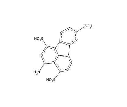 Nc1cc(S(=O)(=O)O)c2c3c(ccc(S(=O)(=O)O)c13)-c1cc(S(=O)(=O)O)ccc1-2